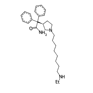 CCNCCCCCCCCN1CC[C@H](C(C(N)=O)(c2ccccc2)c2ccccc2)C1